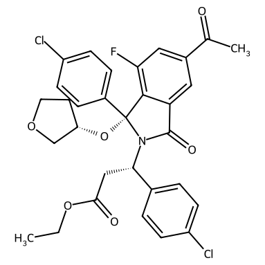 CCOC(=O)C[C@@H](c1ccc(Cl)cc1)N1C(=O)c2cc(C(C)=O)cc(F)c2[C@]1(O[C@H]1CCOC1)c1ccc(Cl)cc1